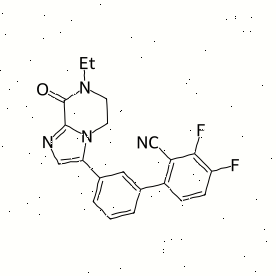 CCN1CCn2c(-c3cccc(-c4ccc(F)c(F)c4C#N)c3)cnc2C1=O